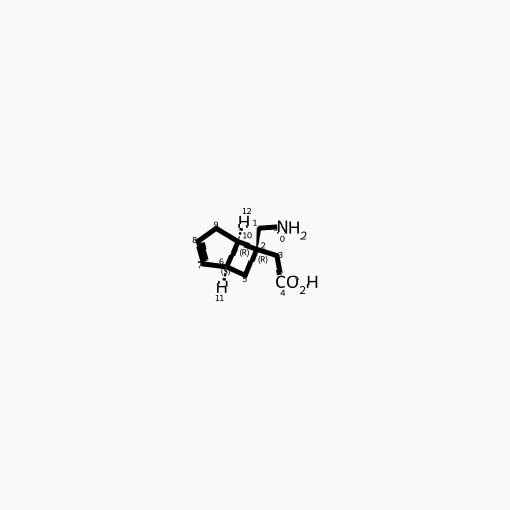 NC[C@@]1(CC(=O)O)C[C@H]2C=CC[C@H]21